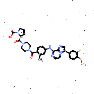 COc1ccc(-c2cnc3c(Nc4ccc(C(=O)N5CCN(C(=O)[C@@H]6C=CCN6C(=O)O)CC5)c(C)c4)nccn23)cc1F